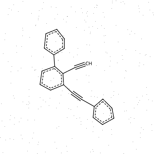 C#Cc1c(C#Cc2ccccc2)cccc1-c1ccccc1